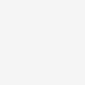 CC1=C(c2cccc(O)c2)C(c2ccc(OCCN3CCC(C)CC3)cc2)Oc2ccc(O)cc21